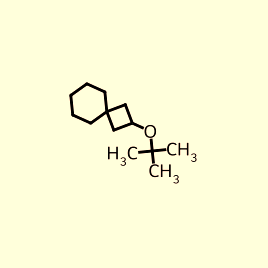 CC(C)(C)OC1CC2(CCCCC2)C1